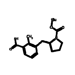 Cc1c(CC2CCCN2C(=O)OC(C)(C)C)cccc1C(=O)S